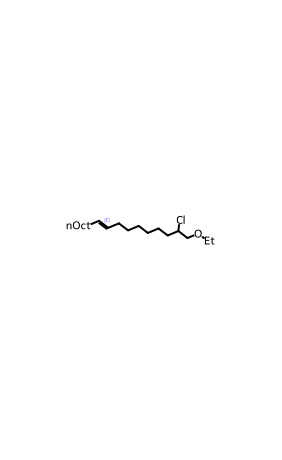 CCCCCCCC/C=C/CCCCCCC(Cl)COCC